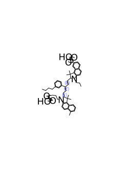 CCCCc1cccc(C(=C\C=C2\N(CCCS(=O)(=O)O)c3ccc4c(C)cccc4c3C2(C)C)/C=C/C2N(CCC)c3ccc4ccc(S(=O)(=O)O)cc4c3C2(C)C)c1